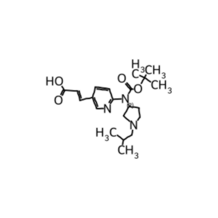 CC(C)CN1CC[C@@H](N(C(=O)OC(C)(C)C)c2ccc(C=CC(=O)O)cn2)C1